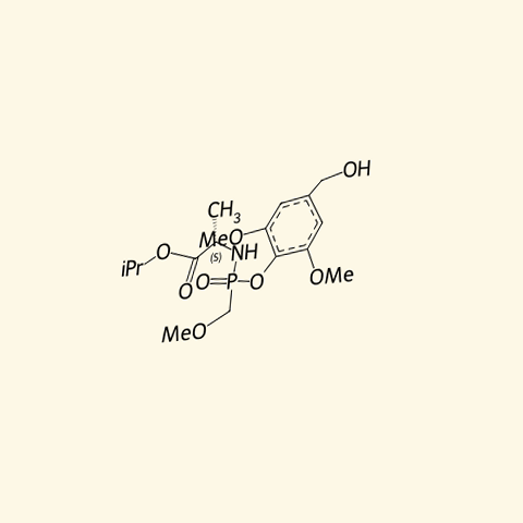 COCP(=O)(N[C@@H](C)C(=O)OC(C)C)Oc1c(OC)cc(CO)cc1OC